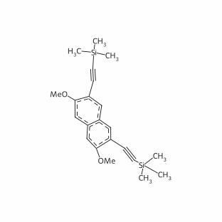 COc1cc2cc(OC)c(C#C[Si](C)(C)C)cc2cc1C#C[Si](C)(C)C